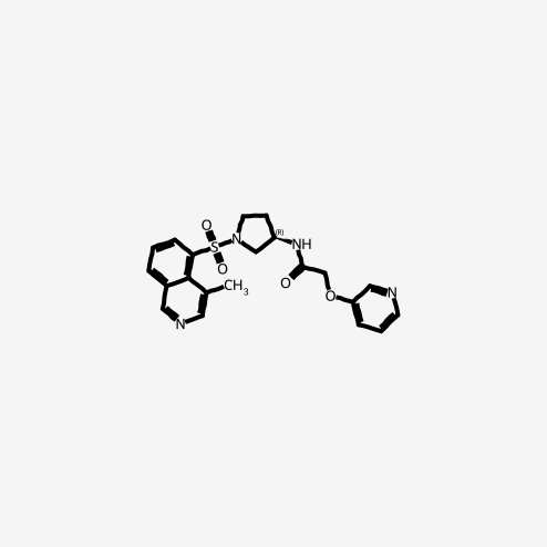 Cc1cncc2cccc(S(=O)(=O)N3CC[C@@H](NC(=O)COc4cccnc4)C3)c12